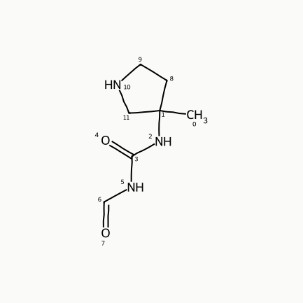 CC1(NC(=O)NC=O)CCNC1